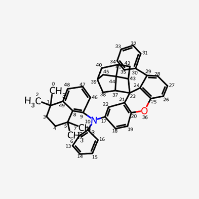 CC1(C)CCC(C)(C)c2c(N(c3ccccc3)c3ccc4c(c3)C3(c5c(cccc5-c5ccccc5)O4)C4CC5CC6CC3C64C5)cccc21